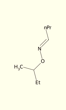 [CH2]CCC=NOC(C)CC